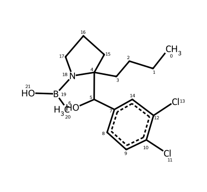 CCCCC1(C(O)c2ccc(Cl)c(Cl)c2)CCCN1B(C)O